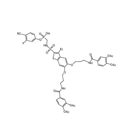 CCc1c(S(=O)(=O)NCP(=O)(O)Oc2ccc(C#N)c(F)c2)sc2cc(OCCCNC(=O)c3ccc(OC(C)=O)c(OC(C)=O)c3)c(OCCCNC(=O)c3ccc(OC(C)=O)c(OC(C)=O)c3)cc12